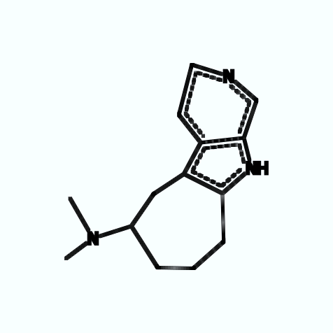 CN(C)C1CCCc2[nH]c3cnccc3c2C1